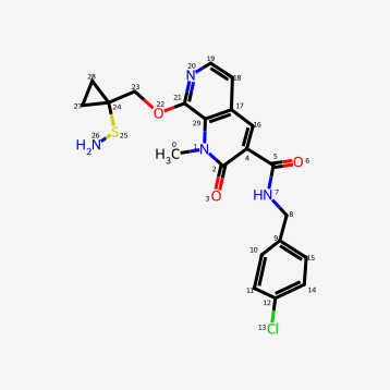 Cn1c(=O)c(C(=O)NCc2ccc(Cl)cc2)cc2ccnc(OCC3(SN)CC3)c21